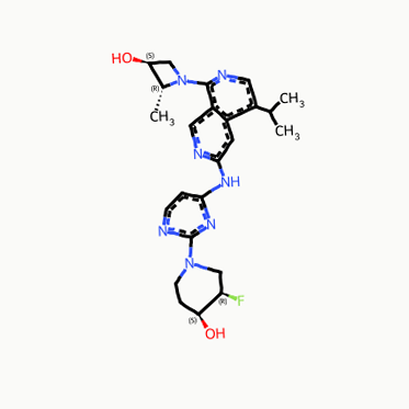 CC(C)c1cnc(N2C[C@H](O)[C@H]2C)c2cnc(Nc3ccnc(N4CC[C@H](O)[C@H](F)C4)n3)cc12